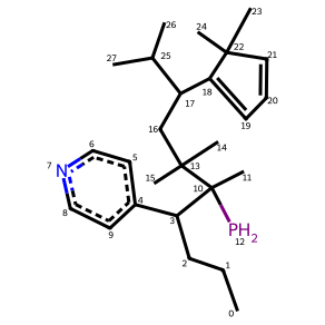 CCCC(c1ccncc1)C(C)(P)C(C)(C)CC(C1=CC=CC1(C)C)C(C)C